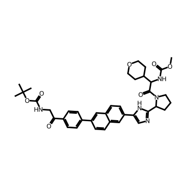 COC(=O)NC(C(=O)N1CCCC1c1ncc(-c2ccc3cc(-c4ccc(C(=O)CNC(=O)OC(C)(C)C)cc4)ccc3c2)[nH]1)C1CCOCC1